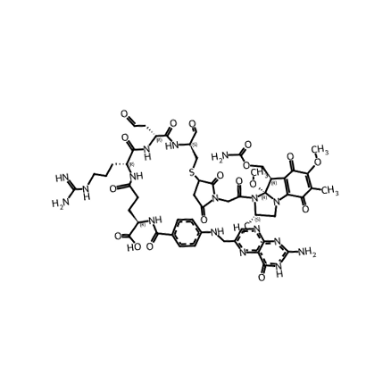 COC1=C(C)C(=O)C2=C(C1=O)[C@H](COC(N)=O)[C@@]1(OC)N2C[C@H](C)N1C(=O)CN1C(=O)CC(SC[C@H](C=O)NC(=O)[C@@H](CC=O)NC(=O)[C@@H](CCCNC(=N)N)NC(=O)CC[C@@H](NC(=O)c2ccc(NCc3cnc4nc(N)[nH]c(=O)c4n3)cc2)C(=O)O)C1=O